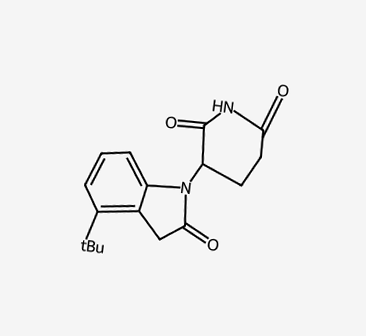 CC(C)(C)c1cccc2c1CC(=O)N2C1CCC(=O)NC1=O